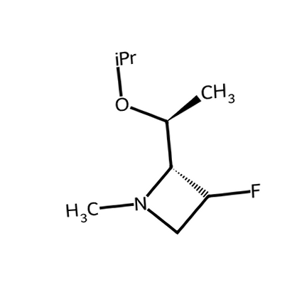 CC(C)O[C@@H](C)[C@@H]1C(F)CN1C